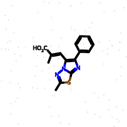 CC(=Cc1c(-c2ccccc2)nc2sc(C)nn12)C(=O)O